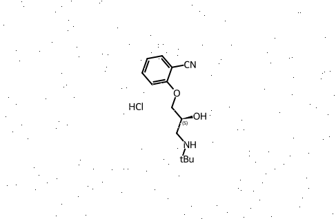 CC(C)(C)NC[C@H](O)COc1ccccc1C#N.Cl